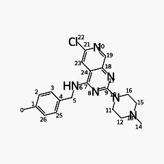 Cc1ccc(CNc2nc(N3CCN(C)CC3)nc3cnc(Cl)cc23)cc1